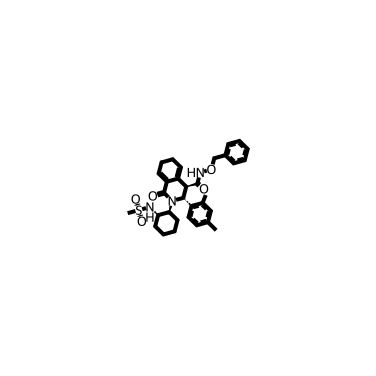 Cc1ccc([C@H]2[C@H](C(=O)NOCc3ccccc3)C3=CCCC=C3C(=O)N2[C@H]2CCCC[C@@H]2NS(C)(=O)=O)c(C)c1